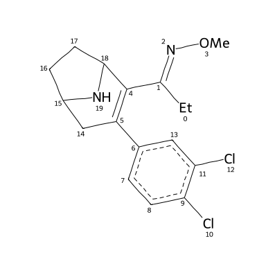 CCC(=NOC)C1=C(c2ccc(Cl)c(Cl)c2)CC2CCC1N2